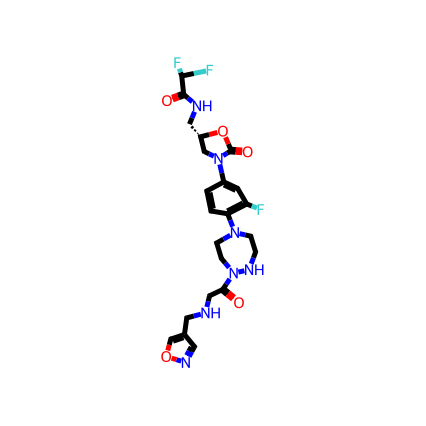 O=C(NC[C@H]1CN(c2ccc(N3CCNN(C(=O)CNCc4cnoc4)CC3)c(F)c2)C(=O)O1)C(F)F